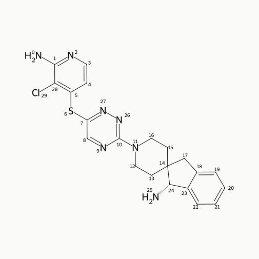 Nc1nccc(Sc2cnc(N3CCC4(CC3)Cc3ccccc3[C@@H]4N)nn2)c1Cl